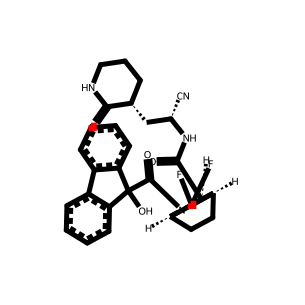 N#C[C@@H](C[C@H]1CCCNC1=O)NC(=O)[C@H]1[C@H]2CC[C@H](CC2(F)F)N1C(=O)C1(O)c2ccccc2-c2ccccc21